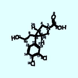 O=C(O)N1C[C@@H]2[C@H](C1)C2(CCO)c1ccc(Cl)c(Cl)c1